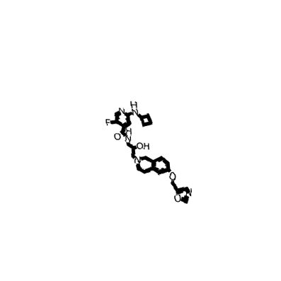 O=C(NCC(O)CN1CCc2cc(OCc3cnco3)ccc2C1)c1cc(NC2CCC2)ncc1F